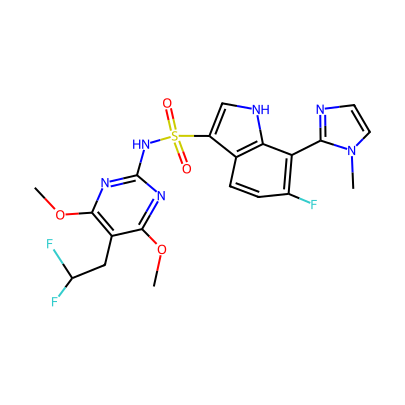 COc1nc(NS(=O)(=O)c2c[nH]c3c(-c4nccn4C)c(F)ccc23)nc(OC)c1CC(F)F